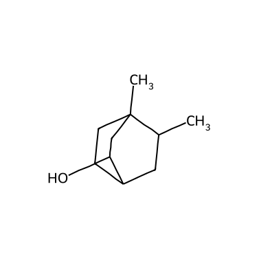 CC1CC2CCC1(C)CC2O